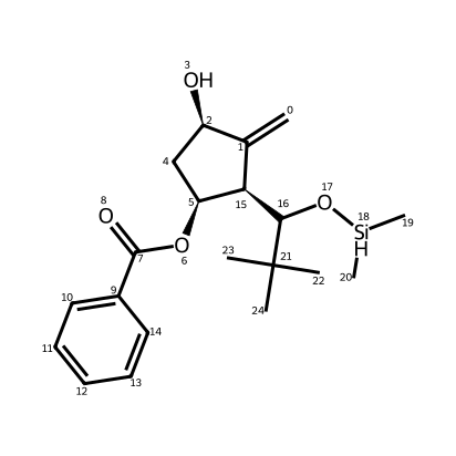 C=C1[C@H](O)C[C@H](OC(=O)c2ccccc2)[C@@H]1C(O[SiH](C)C)C(C)(C)C